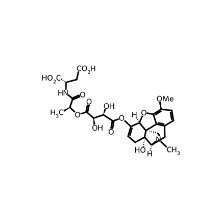 COc1ccc2c3c1O[C@@H]1C(OC(=O)[C@H](O)[C@@H](O)C(=O)O[C@@H](C)C(=O)N[C@@H](CC(=O)O)C(=O)O)=CC[C@]4(O)[C@H](C2)N(C)CC[C@@]314